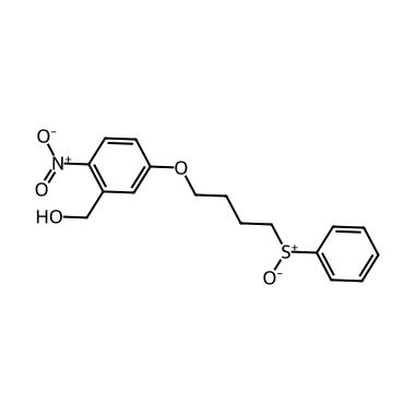 O=[N+]([O-])c1ccc(OCCCC[S+]([O-])c2ccccc2)cc1CO